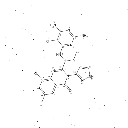 CCC(Nc1nc(N)nc(N)c1Cl)c1nc2c(Cl)cc(F)cc2c(=O)n1-c1cc[nH]n1